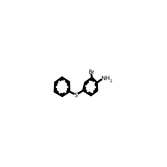 Nc1ccc(Sc2ccccc2)cc1Br